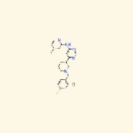 Cc1ccnc(Nc2cc(C3CCCN(Cc4ccc(F)cc4Cl)C3)nc(C)n2)c1